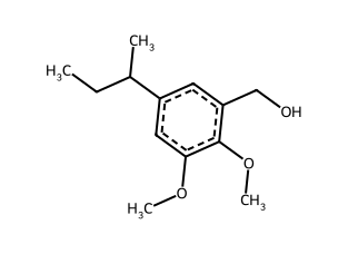 CCC(C)c1cc(CO)c(OC)c(OC)c1